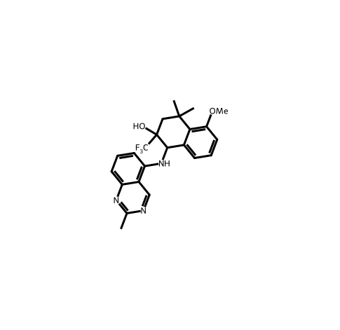 COc1cccc2c1C(C)(C)CC(O)(C(F)(F)F)C2Nc1cccc2nc(C)ncc12